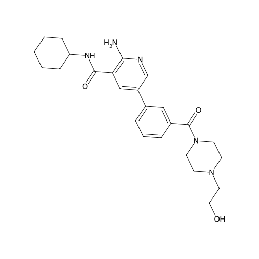 Nc1ncc(-c2cccc(C(=O)N3CCN(CCO)CC3)c2)cc1C(=O)NC1CCCCC1